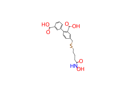 O=C(CCCCSCc1ccc(-c2cccc(C(=O)O)c2)c(C(=O)O)c1)NO